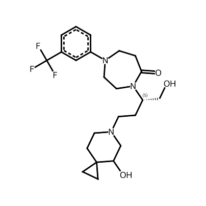 O=C1CCN(c2cccc(C(F)(F)F)c2)CCN1[C@H](CO)CCN1CCC2(CC2)C(O)C1